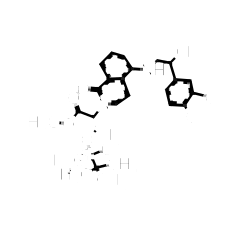 COC(=O)[C@@H](CO[Si](C)(C)C(C)(C)C)n1ccc2c(NCC(C)c3ccc(Cl)c(Cl)c3)cccc2c1=O